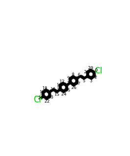 Clc1ccc(C=Cc2ccc(-c3ccc(C=Cc4ccc(Cl)cc4)cc3)cc2)cc1